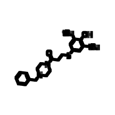 CC(C)(C)c1cc(SCCC(=O)N2CCN(Cc3ccccc3)CC2)cc(C(C)(C)C)c1O